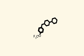 FC(F)(F)Oc1ccc(CC2CCC(C3CCCCC3)CC2)cc1